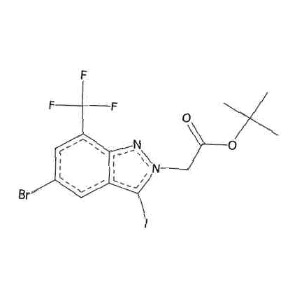 CC(C)(C)OC(=O)Cn1nc2c(C(F)(F)F)cc(Br)cc2c1I